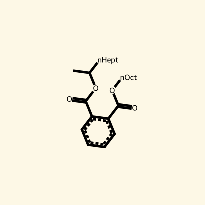 CCCCCCCCOC(=O)c1ccccc1C(=O)OC(C)CCCCCCC